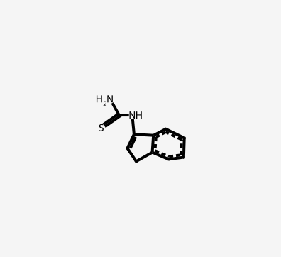 NC(=S)NC1=CCc2ccccc21